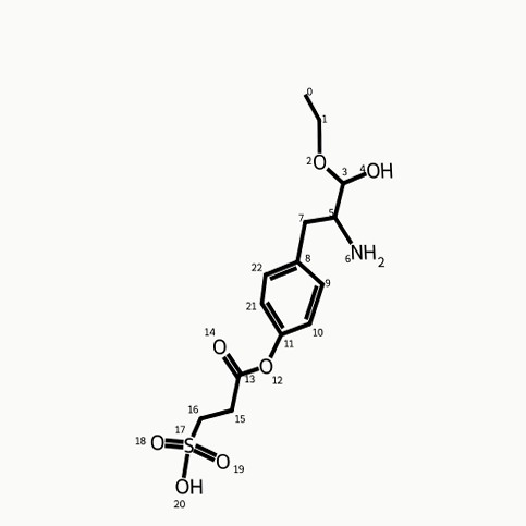 CCOC(O)C(N)Cc1ccc(OC(=O)CCS(=O)(=O)O)cc1